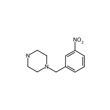 O=[N+]([O-])c1cccc(CN2CC[N]CC2)c1